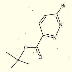 CC(C)(C)OC(=O)c1ccc(Br)nn1